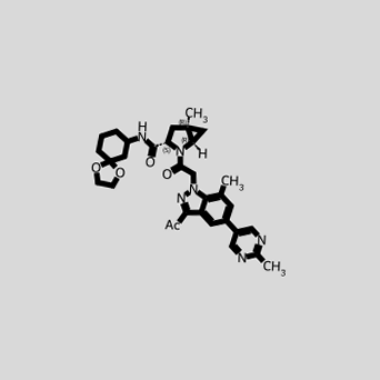 CC(=O)c1nn(CC(=O)N2[C@H](C(=O)NC3CCCC4(C3)OCCO4)C[C@@]3(C)C[C@@H]23)c2c(C)cc(-c3cnc(C)nc3)cc12